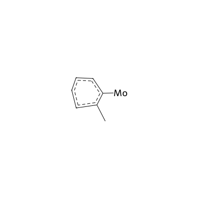 Cc1cccc[c]1[Mo]